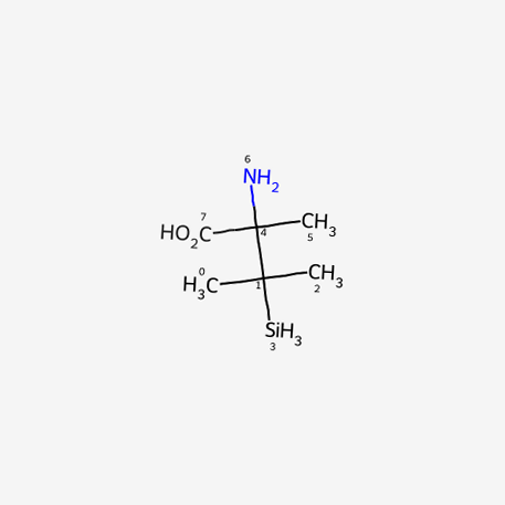 CC(C)([SiH3])C(C)(N)C(=O)O